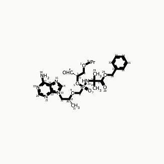 CC(C)OC[C@@H](C=O)OP(=O)(CO[C@H](C)Cn1cnc2c(N)ncnc21)NC(C)(C)C(=O)OCc1ccccc1